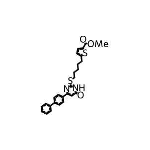 COC(=O)c1ccc(CCCCCSc2nc(-c3ccc(-c4ccccc4)cc3)cc(=O)[nH]2)s1